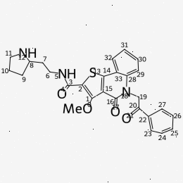 COc1c(C(=O)NCCC2CCCN2)sc2c1c(=O)n(CC(=O)c1ccccc1)c1ccccc21